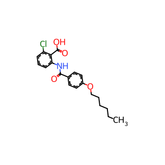 CCCCCCOc1ccc(C(=O)Nc2cccc(Cl)c2C(=O)O)cc1